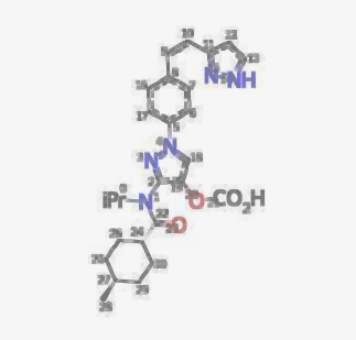 CC(C)N(c1nn(-c2ccc(/C=C\c3cc[nH]n3)cc2)cc1OC(=O)O)C(=O)[C@H]1CC[C@H](C)CC1